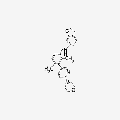 Cc1ccc(CNc2ccc3c(c2)OC[C]3)c(C)c1-c1ccc(N2CCOCC2)nc1